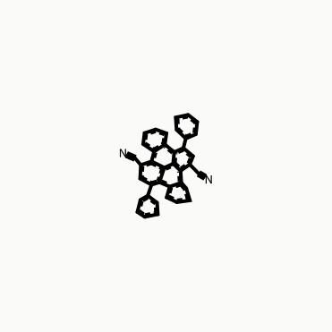 N#Cc1cc(-c2ccccc2)c2c3ccccc3c3c(C#N)cc(-c4ccccc4)c4c5ccccc5c1c2c34